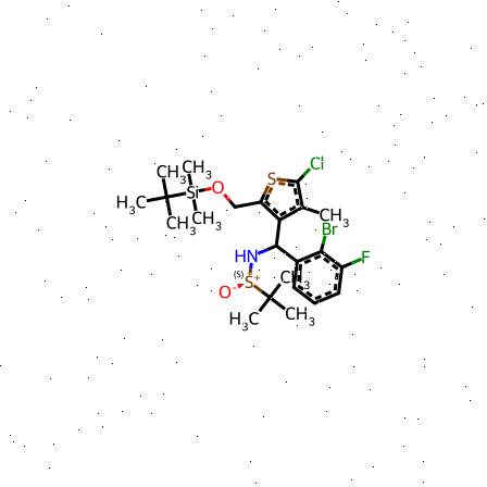 Cc1c(Cl)sc(CO[Si](C)(C)C(C)(C)C)c1C(N[S@+]([O-])C(C)(C)C)c1cccc(F)c1Br